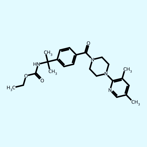 CCOC(=O)NC(C)(C)c1ccc(C(=O)N2CCN(c3ncc(C)cc3C)CC2)cc1